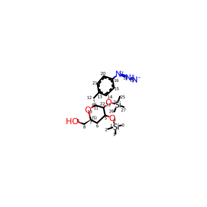 C[Si](C)(C)OC1C[C@@H](CO)O[C@H](Cc2ccc(N=[N+]=[N-])cc2)C1O[Si](C)(C)C